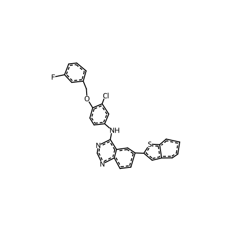 Fc1cccc(COc2ccc(Nc3ncnc4ccc(-c5cc6ccccc6s5)cc34)cc2Cl)c1